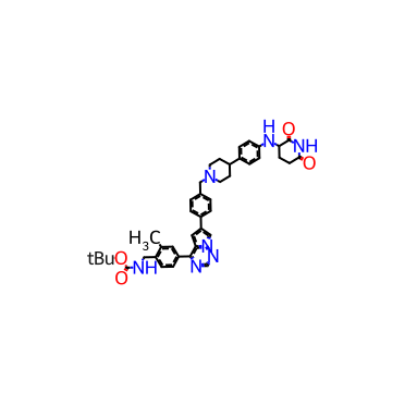 Cc1cc(-c2ncnn3cc(-c4ccc(CN5CCC(c6ccc(NC7CCC(=O)NC7=O)cc6)CC5)cc4)cc23)ccc1CNC(=O)OC(C)(C)C